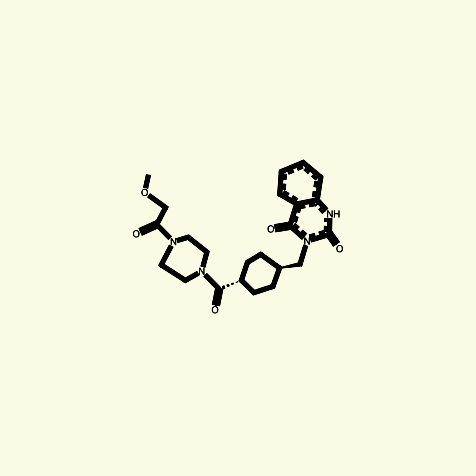 COCC(=O)N1CCN(C(=O)[C@H]2CC[C@H](Cn3c(=O)[nH]c4ccccc4c3=O)CC2)CC1